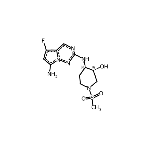 CS(=O)(=O)N1CC[C@@H](Nc2ncc3c(F)cc(N)n3n2)[C@H](O)C1